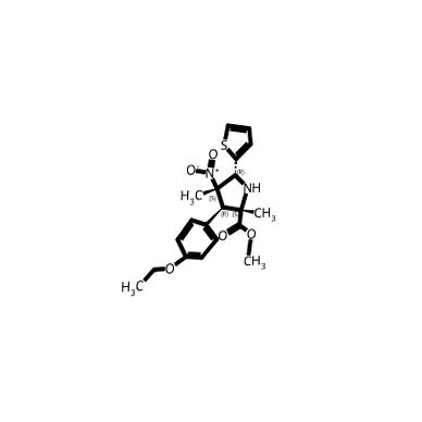 CCOc1ccc([C@H]2[C@](C)([N+](=O)[O-])[C@H](c3cccs3)N[C@]2(C)C(=O)OC)cc1